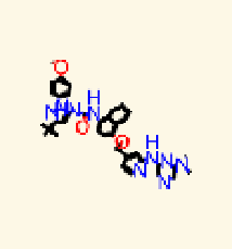 COc1ccc(-n2nc(C(C)(C)C)cc2NC(=O)Nc2ccc(OCc3ccnc(Nc4cncc(N(C)C)n4)c3)c3ccccc23)cc1